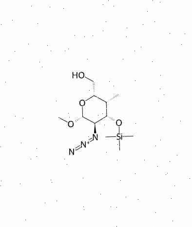 CO[C@@H]1O[C@H](CO)[C@H](C)[C@H](O[Si](C)(C)C)[C@H]1N=[N+]=[N-]